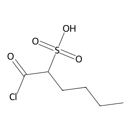 CCCCC(C(=O)Cl)S(=O)(=O)O